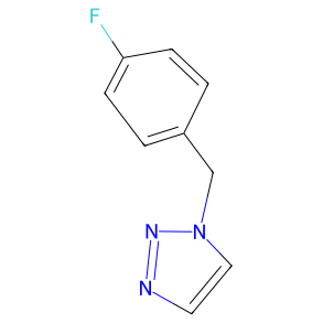 Fc1ccc(Cn2ccnn2)cc1